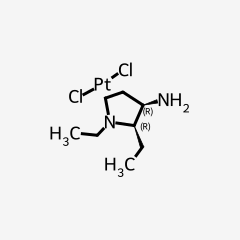 CC[C@@H]1[C@H](N)CCN1CC.[Cl][Pt][Cl]